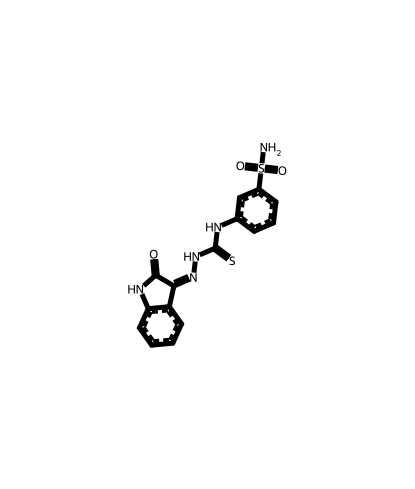 NS(=O)(=O)c1cccc(NC(=S)N/N=C2\C(=O)Nc3ccccc32)c1